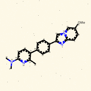 COc1ccc2nc(-c3ccc(-c4ccc(N(C)C)nc4C)cc3)cn2c1